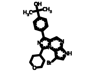 CC(C)(O)c1ccc(-c2nc(C3CCOCC3)n3c2cnc2[nH]cc(Br)c23)cc1